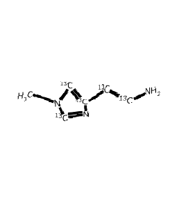 Cn1[13cH]n[13c]([13CH2][13CH2]N)[13cH]1